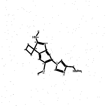 CNCc1cn(-c2cc3c(cc2OC)C2(CCC2)C(NC)=N3)cn1